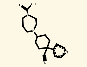 N#CC1(c2ccncc2)CCC(N2CCCN(C(=O)O)CC2)CC1